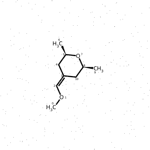 CO/C=C1/C[C@@H](C)O[C@@H](C)C1